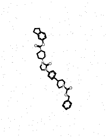 O=C(OCc1ccccc1)N1CCC(c2ccc(N3CCN([C@H]4CC[C@H](C(=O)Oc5ccc6c(c5)CCC6)CC4)C3=O)cc2)CC1